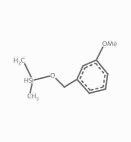 COc1cccc(CO[SiH](C)C)c1